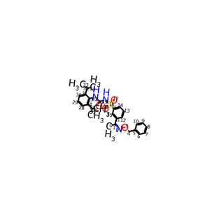 CC(=NOCc1ccccc1)c1cccc(S(=O)(=O)NC(=O)Nc2c(C(C)C)cccc2C(C)C)c1